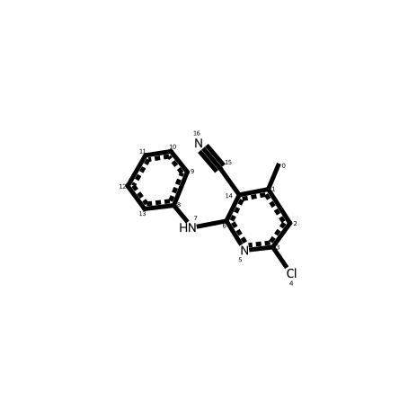 Cc1cc(Cl)nc(Nc2ccccc2)c1C#N